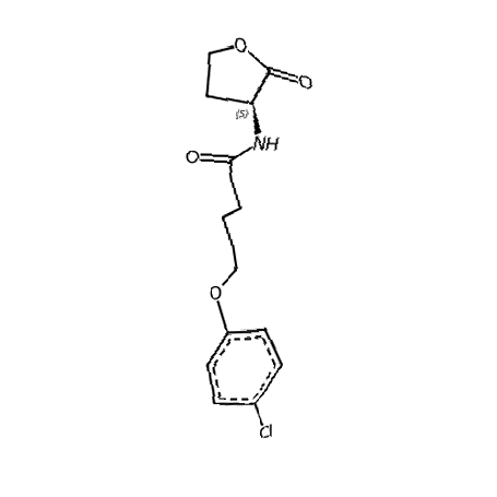 O=C(CCCOc1ccc(Cl)cc1)N[C@H]1CCOC1=O